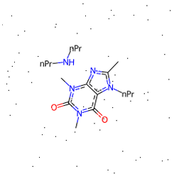 CCCNCCC.CCCn1c(C)nc2c1c(=O)n(C)c(=O)n2C